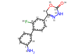 Nc1cccc(-c2ccc(C3=NNC(=O)OC3)cc2F)c1